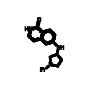 CC(C)N1CCC(Nc2ccc3c(=O)[nH]ccc3c2)C1